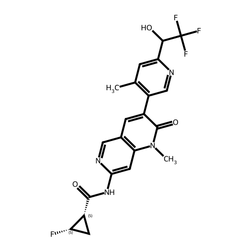 Cc1cc(C(O)C(F)(F)F)ncc1-c1cc2cnc(NC(=O)[C@@H]3C[C@@H]3F)cc2n(C)c1=O